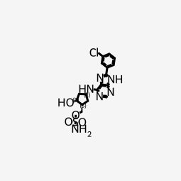 NS(=O)(=O)OC[C@@H]1C[C@@H](Nc2ncnc3[nH]c(-c4cccc(Cl)c4)nc23)C[C@@H]1O